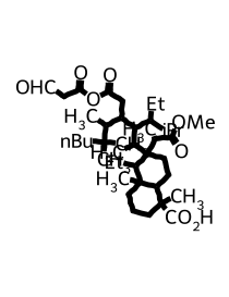 CCCCC(C)(C)C(C)C(CC(=O)OC(=O)CC=O)C(C(CC)C(C)C)C(C)C1(C(C)C(=O)OC)CCC2C(C)(C(=O)O)CCCC2(C)C1CC